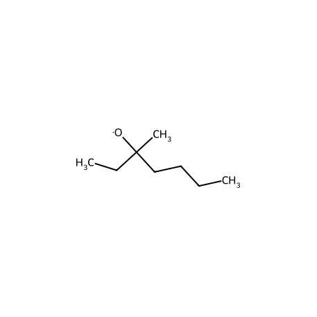 CCCCC(C)([O])CC